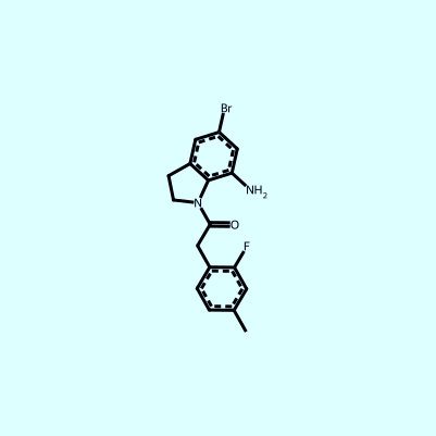 Cc1ccc(CC(=O)N2CCc3cc(Br)cc(N)c32)c(F)c1